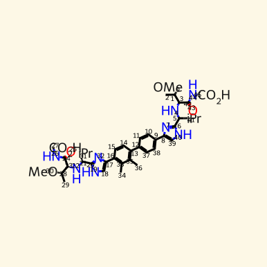 COC(C)C(NC(c1nc(-c2ccc(-c3ccc(-c4c[nH]c([C@@H](N[C@H](C(=O)NC(=O)O)[C@@H](C)OC)C(C)C)n4)c(C)c3C)cc2)c[nH]1)C(C)C)C(=O)NC(=O)O